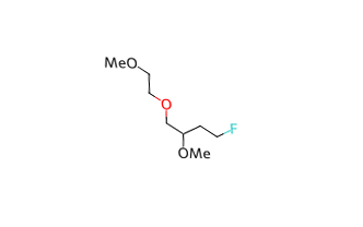 COCCOCC(CCF)OC